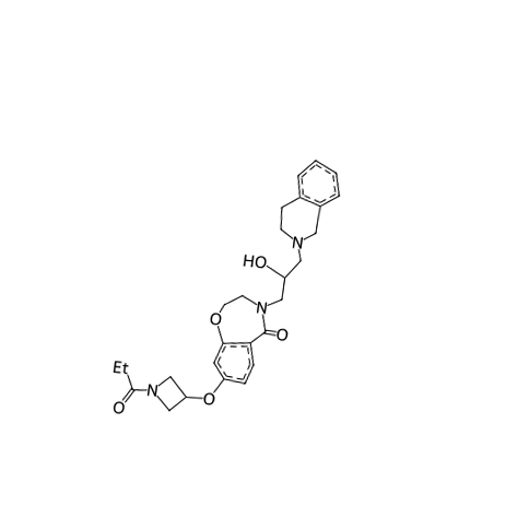 CCC(=O)N1CC(Oc2ccc3c(c2)OCCN(CC(O)CN2CCc4ccccc4C2)C3=O)C1